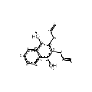 C=CCc1c(CC=C)c(O)c2ccccc2c1O